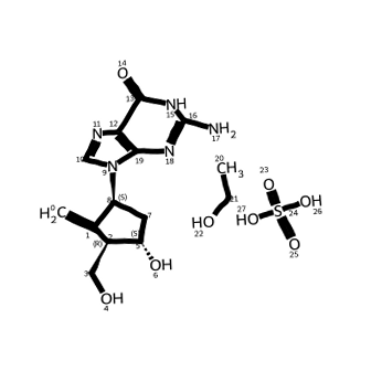 C=C1[C@H](CO)[C@@H](O)C[C@@H]1n1cnc2c(=O)[nH]c(N)nc21.CCO.O=S(=O)(O)O